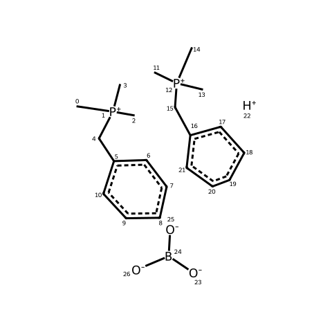 C[P+](C)(C)Cc1ccccc1.C[P+](C)(C)Cc1ccccc1.[H+].[O-]B([O-])[O-]